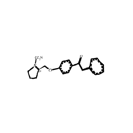 O=C(Cc1ccccc1)c1ccc(OC[C@H]2CCCN2C(=O)O)cc1